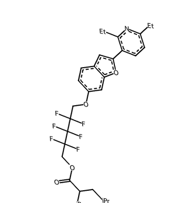 CCc1ccc(-c2cc3ccc(OCC(F)(F)C(F)(F)C(F)(F)COC(=O)C(CC(C)C)C(C)C)cc3o2)c(CC)n1